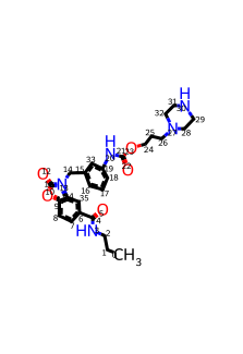 CCCNC(=O)c1ccc2oc(=O)n(Cc3cccc(NC(=O)OCCCN4CCNCC4)c3)c2c1